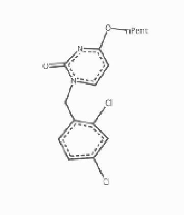 CCCCCOc1ccn(Cc2ccc(Cl)cc2Cl)c(=O)n1